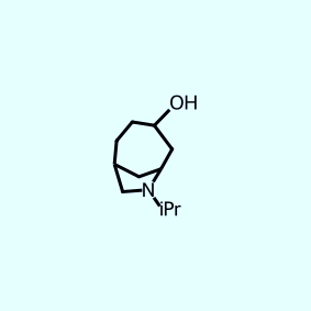 CC(C)N1CC2CCC(O)CC1C2